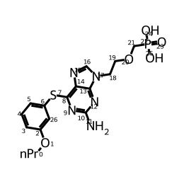 CCCOc1cccc(Sc2nc(N)nc3c2ncn3CCOCP(=O)(O)O)c1